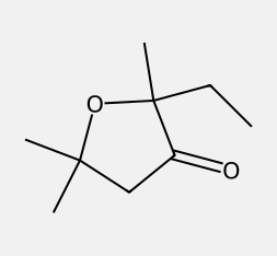 CCC1(C)OC(C)(C)CC1=O